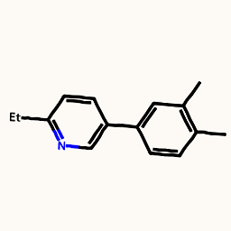 CCc1ccc(-c2ccc(C)c(C)c2)cn1